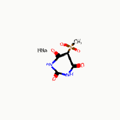 CS(=O)(=O)C1C(=O)NC(=O)NC1=O.[NaH]